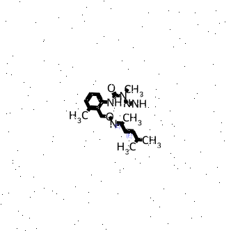 CC(/C=C/C(C)C)=N\OCc1c(C)cccc1NC(=O)N(C)N=N